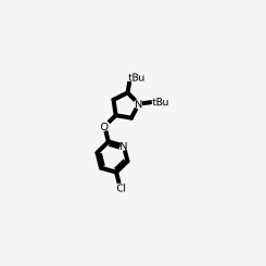 CC(C)(C)C1CC(Oc2ccc(Cl)cn2)CN1C(C)(C)C